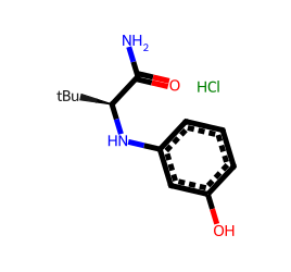 CC(C)(C)[C@H](Nc1cccc(O)c1)C(N)=O.Cl